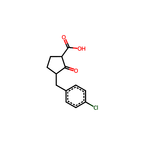 O=C(O)C1CCC(Cc2ccc(Cl)cc2)C1=O